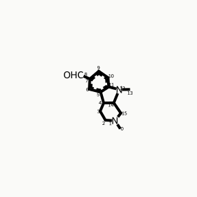 CN1CCC2c3cc(C=O)ccc3N(C)C2C1